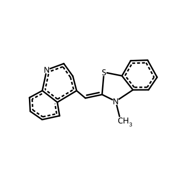 CN1/C(=C/c2ccnc3ccccc23)Sc2ccccc21